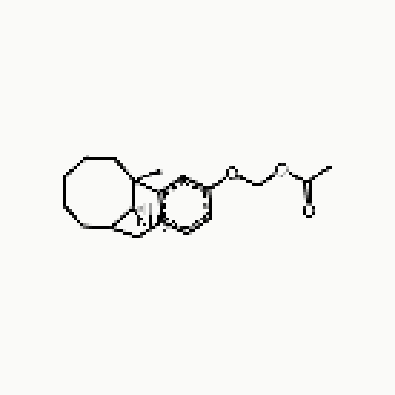 CC(=O)OCOc1ccc2c(c1)[C@@]1(C)CCCCCC(C2)[C@@H]1N